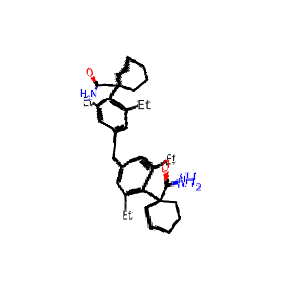 CCc1cc(Cc2cc(CC)c(C3(C(N)=O)CCCCC3)c(CC)c2)cc(CC)c1C1(C(N)=O)CCCCC1